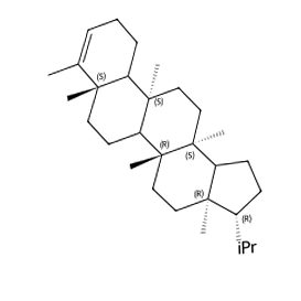 CC1=CCCC2[C@@]3(C)CC[C@@]4(C)C5CC[C@H](C(C)C)[C@@]5(C)CC[C@]4(C)C3CC[C@]12C